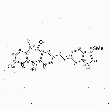 CCN1c2ncc(CCc3ccc4c(SC)c[nH]c4c3)cc2C(=O)N(C)c2ccc(Cl)nc21